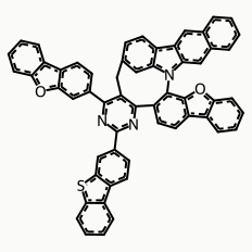 c1ccc2cc3c(cc2c1)c1ccc2cc1n3-c1c(ccc3c1oc1ccccc13)-c1nc(-c3ccc4c(c3)sc3ccccc34)nc(-c3ccc4c(c3)oc3ccccc34)c1C2